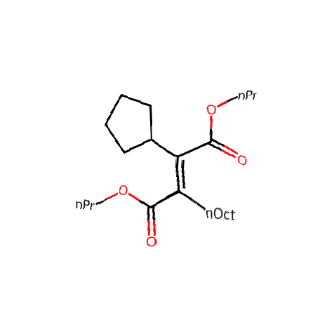 CCCCCCCCC(C(=O)OCCC)=C(C(=O)OCCC)C1CCCC1